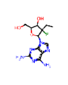 CCC1(F)C(O)C(CO)OC1n1cnc2c(N)nc(N)nc21